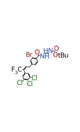 CC(C)(C)OC(=O)NCCNC(=O)c1ccc(CC=C(c2cc(Cl)c(Cl)c(Cl)c2)C(F)(F)F)cc1Br